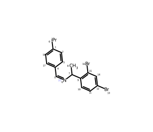 CC(C)c1ccc(/C=N\C(C)c2ccc(Br)cc2Br)cc1